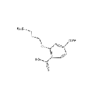 COc1ccc(C(O)=S)c(OCCCSC)c1